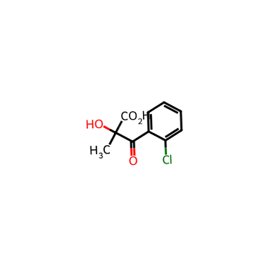 CC(O)(C(=O)O)C(=O)c1ccccc1Cl